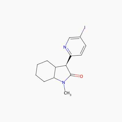 CN1C(=O)[C@H](c2ccc(I)cn2)C2CCCCC21